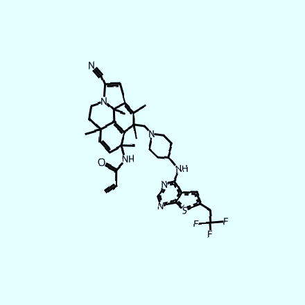 C=CC(=O)NC1(C)C=CC2(C)CCN3C(C#N)=CC4=C(C)C(C)(CN5CCC(Nc6ncnc7sc(CC(F)(F)F)cc67)CC5)C1=C2C43C